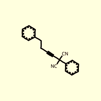 N#CC(C#N)(C#CCCc1ccccc1)c1ccccc1